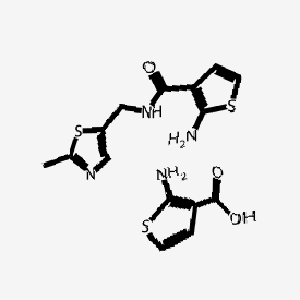 Cc1ncc(CNC(=O)c2ccsc2N)s1.Nc1sccc1C(=O)O